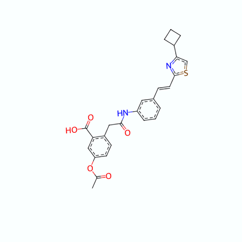 CC(=O)Oc1ccc(CC(=O)Nc2cccc(/C=C/c3nc(C4CCC4)cs3)c2)c(C(=O)O)c1